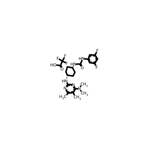 Cc1nc(N[C@H]2CC[C@@H](NC(=O)Nc3cc(F)cc(F)c3)CC2)nc(N(C)C)c1C.O=C(O)C(F)(F)F